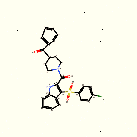 O=C(c1ccccc1)C1CCN(C(=O)c2[nH]c3ccccc3c2S(=O)(=O)c2ccc(Cl)cc2)CC1